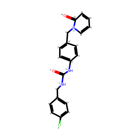 O=C(NCc1ccc(Cl)cc1)Nc1ccc(Cn2ccccc2=O)cc1